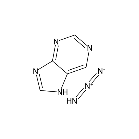 [N-]=[N+]=N.c1ncc2[nH]cnc2n1